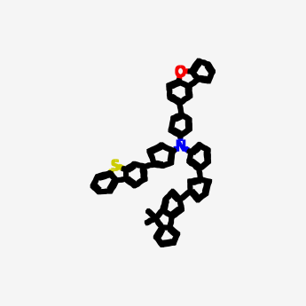 CC1(C)c2ccccc2-c2cc(-c3cccc(-c4cccc(N(c5ccc(-c6ccc7c(c6)sc6ccccc67)cc5)c5ccc(-c6ccc7oc8ccccc8c7c6)cc5)c4)c3)ccc21